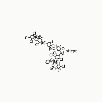 C=O.CCCCCCCC(=O)Oc1c(I)cc(C#N)cc1I.Clc1c(Cl)c(Cl)c(Cl)c(Cl)c1Cl.N#Cc1cc(I)c(O)c(I)c1.O=C(Nc1ccccc1)Nc1ccnc(Cl)c1.Oc1c(Cl)cc(Cl)c(Cl)c1Cc1c(O)c(Cl)cc(Cl)c1Cl